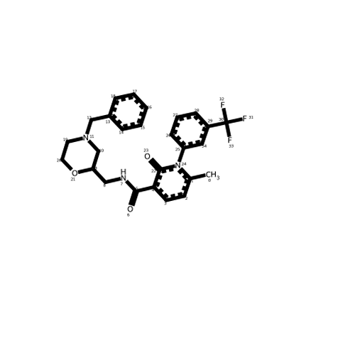 Cc1ccc(C(=O)NCC2CN(Cc3ccccc3)CCO2)c(=O)n1-c1cccc(C(F)(F)F)c1